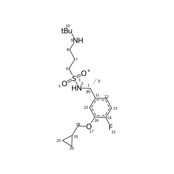 C[C@@H](NS(=O)(=O)CCCNC(C)(C)C)c1ccc(F)c(OCC2CC2)c1